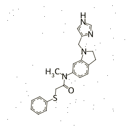 CN(C(=O)CSc1ccccc1)c1ccc2c(c1)N(Cc1c[nH]cn1)CC2